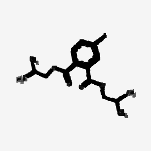 CC(C)COC(=O)c1ccc(I)cc1C(=O)OCC(C)C